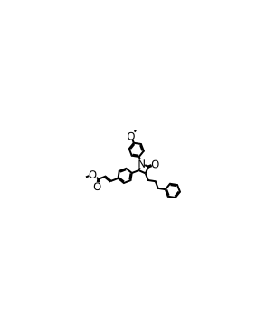 COC(=O)C=Cc1ccc(C2C(CCCc3ccccc3)C(=O)N2c2ccc(OC)cc2)cc1